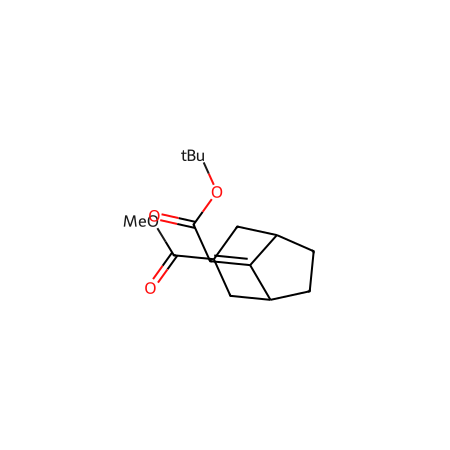 COC(=O)C1CC2CCC(C1)C2=CC(=O)OC(C)(C)C